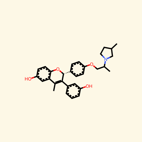 CC1=C(c2cccc(O)c2)[C@@H](c2ccc(OCC(C)N3CCC(C)C3)cc2)Oc2ccc(O)cc21